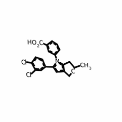 CC1CCc2cc(-c3ccc(Cl)c(Cl)c3)n(-c3cccc(C(=O)O)c3)c2C1